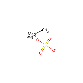 CNC.O=S(=O)([O-])[O-].[Mg+2]